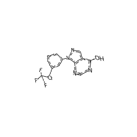 Oc1ncnc2c1cnn2-c1cccc(OC(F)(F)F)c1